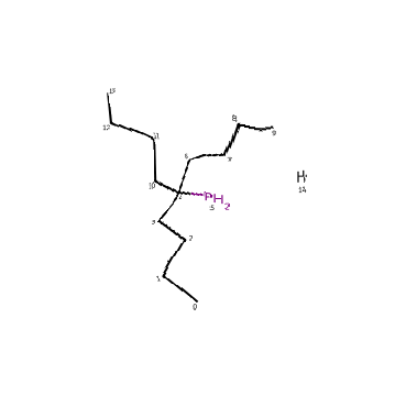 CCCCC(P)(CCCC)CCCC.[H]